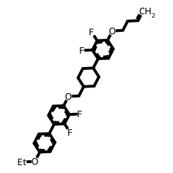 C=CCCOc1ccc(C2CCC(COc3ccc(-c4ccc(OCC)cc4)c(F)c3F)CC2)c(F)c1F